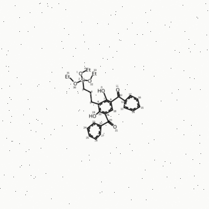 CCO[Si](CCCc1c(O)c(C(=O)c2ccccc2)cc(C(=O)c2ccccc2)c1O)(OCC)OCC